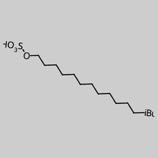 CCC(C)CCCCCCCCCCCCOS(=O)(=O)O